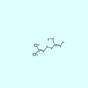 [CH2]/C=C(\CC)CCC=C(Cl)Cl